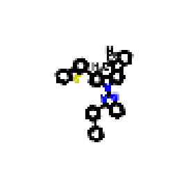 CC1(C)C2=C(C=CCC2)c2ccc3c(c21)c1cc(-c2cccc4c5c(sc24)C=CCC5)ccc1n3-c1nc(-c2cccc(C3=CCCC=C3)c2)c2ccccc2n1